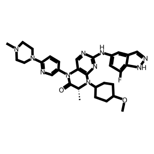 COC1CCC(N2c3nc(Nc4cc(F)c5[nH]ncc5c4)ncc3N(c3ccc(N4CCN(C)CC4)nc3)C(=O)[C@H]2C)CC1